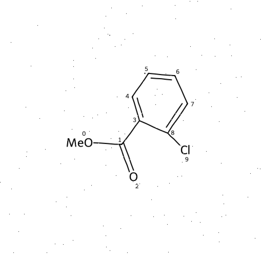 COC(=O)c1c[c]ccc1Cl